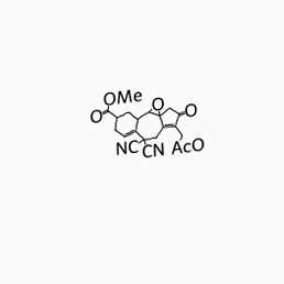 COC(=O)C1CC=C2C(C1)C1OC13CC(=O)C(COC(C)=O)=C3CC2(C#N)C#N